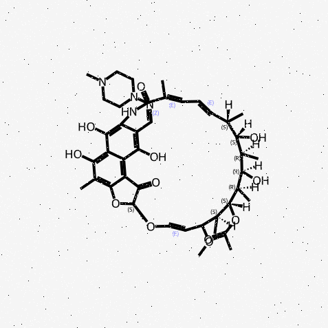 COC1/C=C/O[C@@]2(C)Oc3c(C)c(O)c4c(O)c(c(/C=N\N5CCN(C)CC5)c(O)c4c3C2=O)NC(=O)/C(C)=C/C=C/[C@H](C)[C@H](O)[C@@H](C)[C@@H](O)[C@@H](C)[C@H](OC(C)=O)[C@H]1C